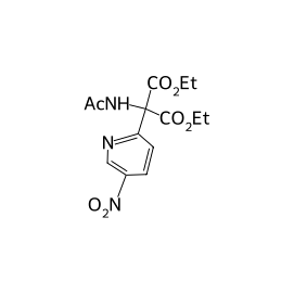 CCOC(=O)C(NC(C)=O)(C(=O)OCC)c1ccc([N+](=O)[O-])cn1